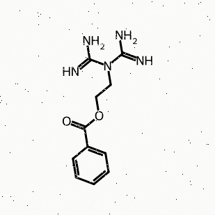 N=C(N)N(CCOC(=O)c1ccccc1)C(=N)N